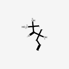 C=CCC(C)(O)C(=O)C(C)(O)C(=O)O